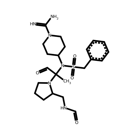 CC(C=O)(N1CCCC1CNC=O)N(C1CCN(C(=N)N)CC1)S(=O)(=O)Cc1ccccc1